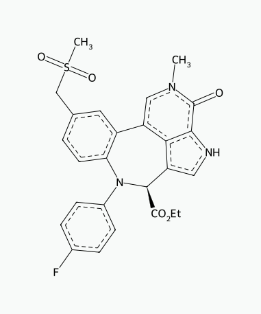 CCOC(=O)[C@@H]1c2c[nH]c3c(=O)n(C)cc(c23)-c2cc(CS(C)(=O)=O)ccc2N1c1ccc(F)cc1